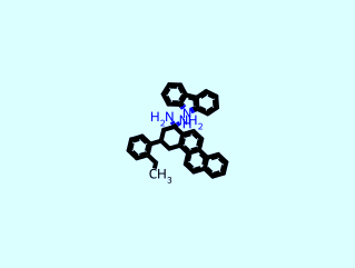 CCc1ccccc1C1Cc2c(ccc3c2ccc2ccccc23)C(N)(N)C1.c1ccc2c(c1)[nH]c1ccccc12